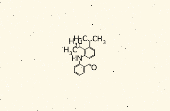 CC(C)c1cccc(Nc2ccccc2C=O)c1C(C)C